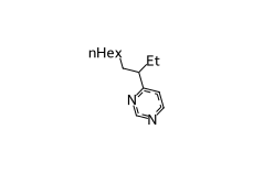 CCCCCCCC(CC)c1ccncn1